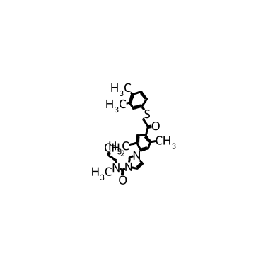 C=CCN(C)C(=O)N1C=CN(c2cc(C)c(C(=O)CSc3ccc(C)c(C)c3)cc2C)C1